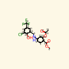 COC(=O)c1ccc(NCc2cc(C(F)(F)F)cc(Cl)c2O)cc1OC(C)=O